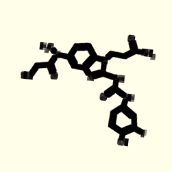 CN(C(=O)CC(C)(C)C)c1ccc2c(c1)nc(NC(=O)Nc1ccc(C#N)c(F)c1)n2CCC(N)=O